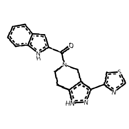 O=C(c1cc2ccccc2[nH]1)N1CCc2[nH]nc(-c3cscn3)c2C1